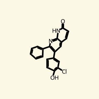 O=c1ccc2cc(-c3ccc(O)c(Cl)c3)c(-c3ccccc3)nc2[nH]1